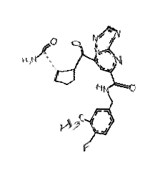 Cc1cc(CNC(=O)c2cc(C(=O)C3CCC[C@@H]3C(N)=O)n3ncnc3n2)ccc1F